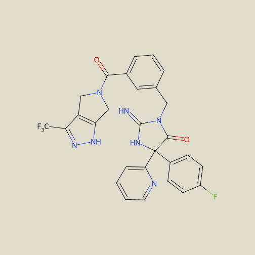 N=C1NC(c2ccc(F)cc2)(c2ccccn2)C(=O)N1Cc1cccc(C(=O)N2Cc3[nH]nc(C(F)(F)F)c3C2)c1